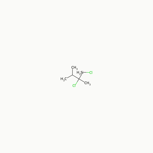 CC(C)C(C)(Cl)[SiH2]Cl